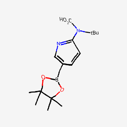 CC(C)(C)N(C(=O)O)c1ccc(B2OC(C)(C)C(C)(C)O2)cn1